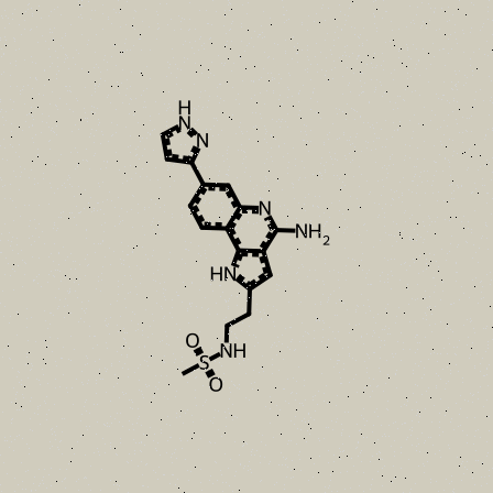 CS(=O)(=O)NCCc1cc2c(N)nc3cc(-c4cc[nH]n4)ccc3c2[nH]1